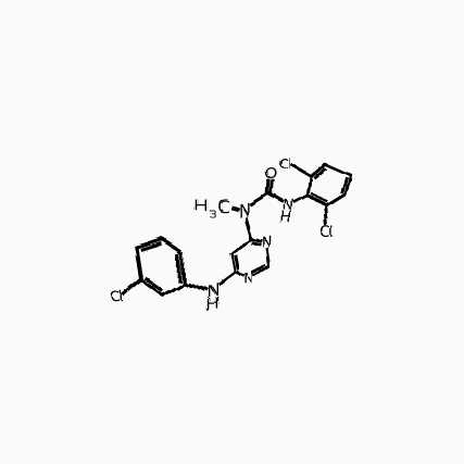 CN(C(=O)Nc1c(Cl)cccc1Cl)c1cc(Nc2cccc(Cl)c2)ncn1